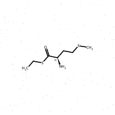 CCSC(=O)[C@H](N)CCSC